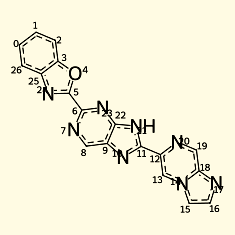 c1ccc2oc(-c3ncc4nc(-c5cn6ccnc6cn5)[nH]c4n3)nc2c1